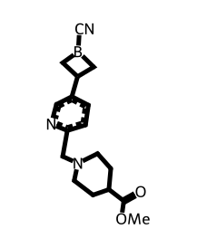 COC(=O)C1CCN(Cc2ccc(C3CB(C#N)C3)cn2)CC1